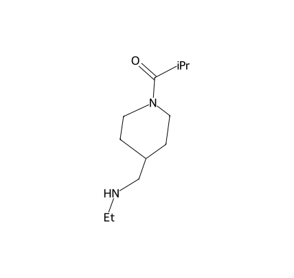 CCNCC1CCN(C(=O)C(C)C)CC1